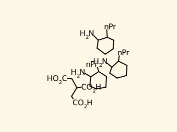 CCCC1CCCCC1N.CCCC1CCCCC1N.CCCC1CCCCC1N.O=C(O)CC(CC(=O)O)C(=O)O